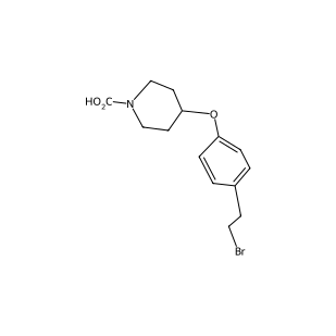 O=C(O)N1CCC(Oc2ccc(CCBr)cc2)CC1